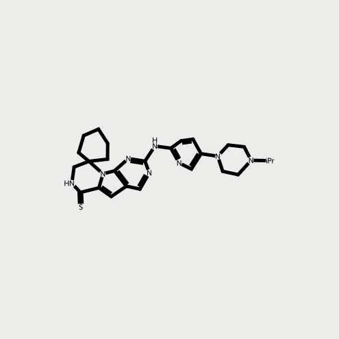 CC(C)N1CCN(c2ccc(Nc3ncc4cc5n(c4n3)C3(CCCCC3)CNC5=S)nc2)CC1